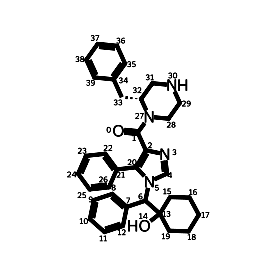 O=C(c1ncn(C(c2ccccc2)C2(O)CCCCC2)c1-c1ccccc1)N1CCNC[C@H]1Cc1ccccc1